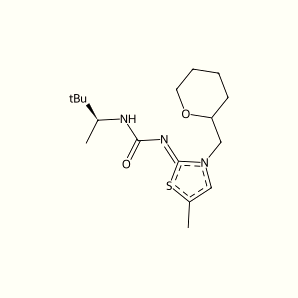 Cc1cn(CC2CCCCO2)c(=NC(=O)N[C@@H](C)C(C)(C)C)s1